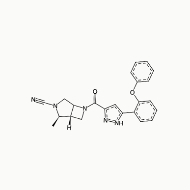 C[C@@H]1[C@H]2CN(C(=O)c3cc(-c4ccccc4Oc4ccccc4)[nH]n3)C2CN1C#N